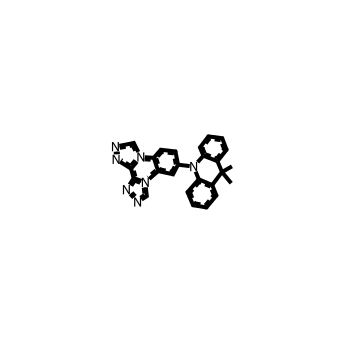 CC1(C)c2ccccc2N(c2ccc3c(c2)n2cnnc2c2nncn32)c2ccccc21